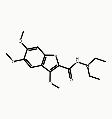 CCN(CC)NC(=O)c1sc2cc(OC)c(OC)cc2c1OC